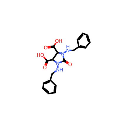 O=C(O)C1C(C(=O)O)N(NCc2ccccc2)C(=O)N1NCc1ccccc1